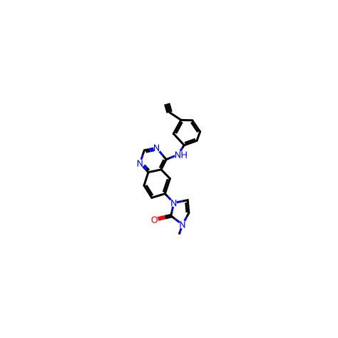 C#Cc1cccc(Nc2ncnc3ccc(-n4ccn(C)c4=O)cc23)c1